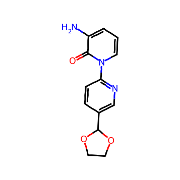 Nc1cccn(-c2ccc(C3OCCO3)cn2)c1=O